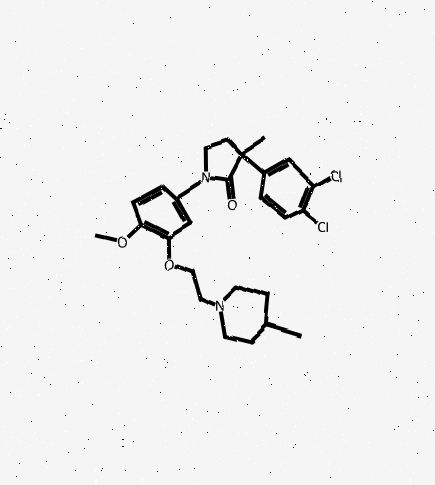 COc1ccc(N2CCC(C)(c3ccc(Cl)c(Cl)c3)C2=O)cc1OCCN1CCC(C)CC1